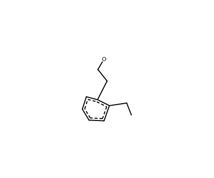 CCc1ccccc1CC[O]